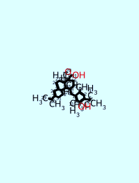 Cc1cc(C(C)(C)C)c(O)c(C)c1CC1CC[C@@](C)(C(=O)O)[C@@H]2CC=C3C=C(C(C)C)CC[C@@H]3[C@@]12C